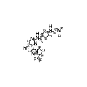 C[C@H](Nc1ncc(C#N)c(-c2cnc3c(C(F)F)cccn23)n1)c1ccc(NCCN(C)C)cc1